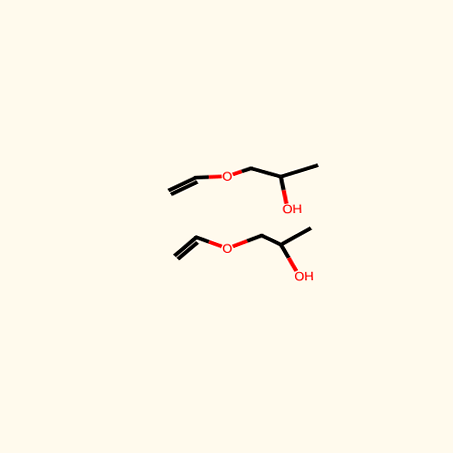 C=COCC(C)O.C=COCC(C)O